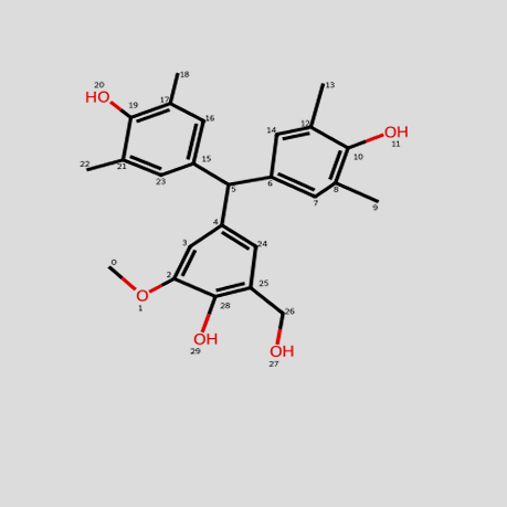 COc1cc(C(c2cc(C)c(O)c(C)c2)c2cc(C)c(O)c(C)c2)cc(CO)c1O